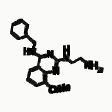 COc1cccc2c(NCc3ccccc3)nc(NCCN)nc12